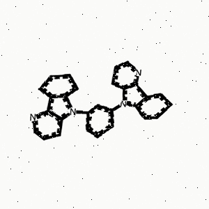 c1cc(-n2c3ccccc3c3ncccc32)cc(-n2c3ccccc3c3ncccc32)c1